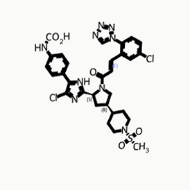 CS(=O)(=O)N1CCC([C@H]2C[C@@H](c3nc(Cl)c(-c4ccc(NC(=O)O)cc4)[nH]3)N(C(=O)/C=C/c3cc(Cl)ccc3-n3cnnn3)C2)CC1